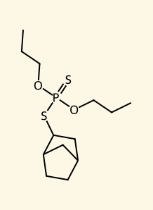 CCCOP(=S)(OCCC)SC1CC2CCC1C2